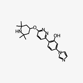 CC1(C)CC(Oc2ccc(-c3ccc(-n4ccnc4)cc3O)nn2)CC(C)(C)N1